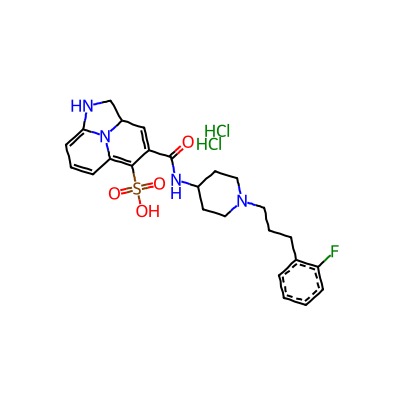 Cl.Cl.O=C(NC1CCN(CCCc2ccccc2F)CC1)C1=CC2CNC3=CC=CC(=C1S(=O)(=O)O)N32